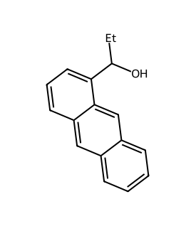 CCC(O)c1cccc2cc3ccccc3cc12